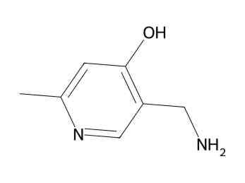 Cc1cc(O)c(CN)cn1